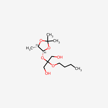 CCCCOC(CO)(CO)O[C@H]1OC(C)(C)O[C@H]1C